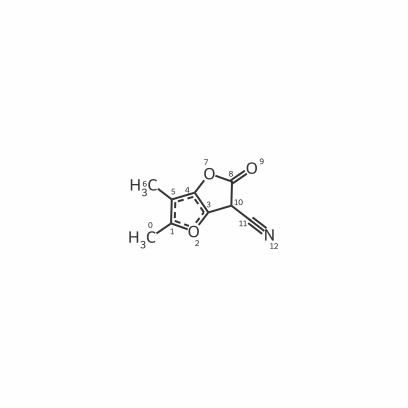 Cc1oc2c(c1C)OC(=O)C2C#N